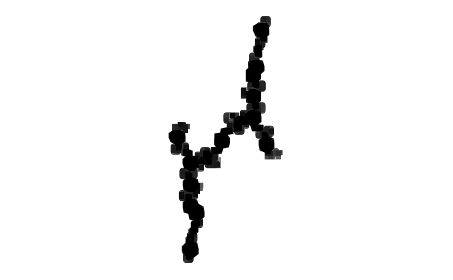 [C-]#[N+]/C(C(=O)OCCc1ccc(CCOC(=O)/C(C#N)=C2\Sc3c(CCOC(=O)c4ccc(CCC)cc4)ccc(OC(=O)c4ccc(OC(=O)c5ccc6cc(OCCCOCC7CCC8OC8C7)ccc6c5)c(F)c4)c3S2)cc1)=C1/Sc2c(CCOC(=O)c3ccc(CCC)cc3)ccc(OC(=O)c3ccc(OC(=O)c4ccc5cc(OCCCOCC6CCC7OC7C6)ccc5c4)c(F)c3)c2S1